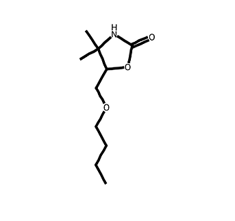 CCCCOCC1OC(=O)NC1(C)C